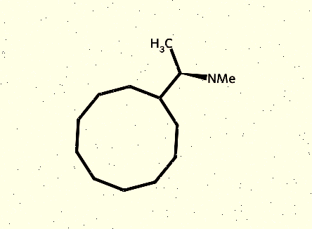 CN[C@H](C)C1CCCCCCCCC1